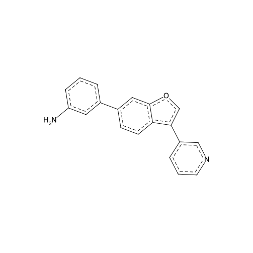 Nc1cccc(-c2ccc3c(-c4cccnc4)coc3c2)c1